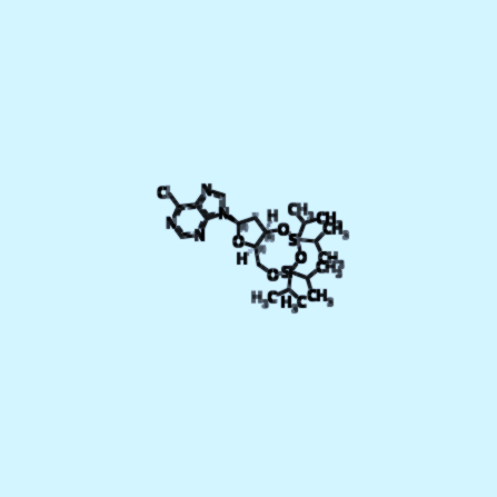 CC(C)[Si]1(C(C)C)OC[C@H]2O[C@@H](n3cnc4c(Cl)ncnc43)[C][C@H]2O[Si](C(C)C)(C(C)C)O1